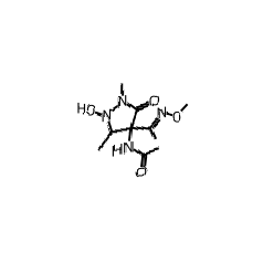 CON=C(C)C1(NC(C)=O)C(=O)N(C)N(O)C1C